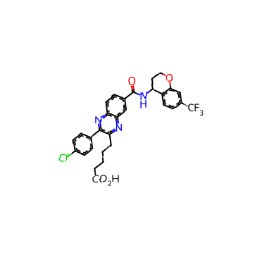 O=C(O)CCCCc1nc2cc(C(=O)NC3CCOc4cc(C(F)(F)F)ccc43)ccc2nc1-c1ccc(Cl)cc1